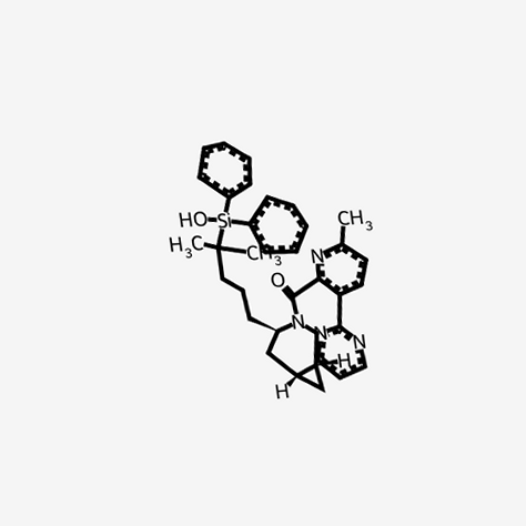 Cc1ccc(-c2ncccn2)c(C(=O)N2C[C@@H]3C[C@@H]3C[C@H]2CCCC(C)(C)[Si](O)(c2ccccc2)c2ccccc2)n1